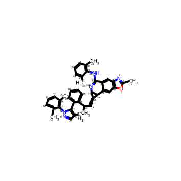 Cc1nc2cc3c(cc2o1)C1/C(=C/C(C)c2ccccc2-c2c(C)cnn2-c2c(C)cccc2C)C1N=C3Nc1c(C)cccc1C